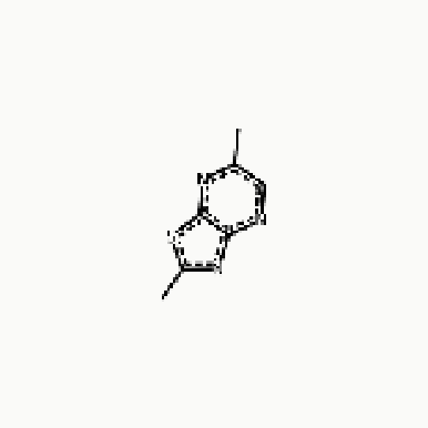 Cc1cnc2nc(C)sc2n1